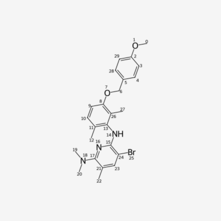 COc1ccc(COc2ccc(C)c(Nc3nc(N(C)C)c(C)cc3Br)c2C)cc1